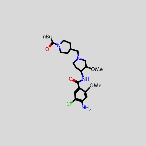 CCCCC(=O)N1CCC(CN2CCC(NC(=O)c3cc(Cl)c(N)cc3OC)C(OC)C2)CC1